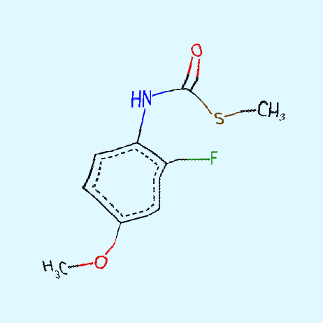 COc1ccc(NC(=O)SC)c(F)c1